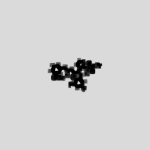 CCCS(=O)(=O)NC1SC=CN1[C@@H](Cc1cc(F)cc(F)c1)[C@H](O)CNCc1cccc(OC)c1